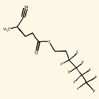 CC(C#N)CCC(=O)OCCC(F)(F)C(F)(F)C(F)(F)C(F)(F)F